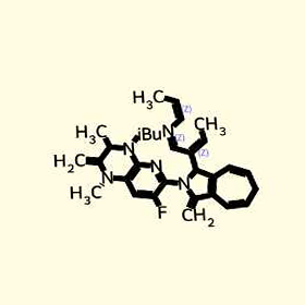 C=C1C(C)N(C(C)CC)c2nc(N3C(=C)C4=C(C=CCC=C4)C3C(/C=N\C=C/C)=C/C)c(F)cc2N1C